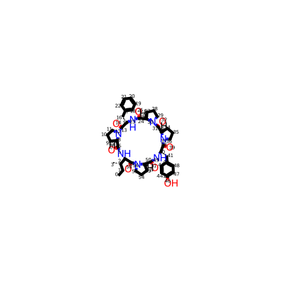 CC[C@H](C)[C@@H]1NC(=O)[C@@H]2CCCN2C(=O)[C@H](Cc2ccccc2)NC(=O)[C@@H]2CCCN2C(=O)[C@@H]2CCCN2C(=O)[C@H](Cc2ccc(O)cc2)NC(=O)[C@@H]2CCCN2C1=O